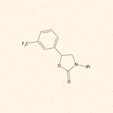 CC(C)N1CC(c2cccc(C(F)(F)F)c2)OC1=O